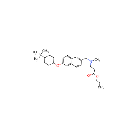 CCCOC(=O)CCN(C)Cc1ccc2cc(OC3CCC(C(C)(C)C)CC3)ccc2c1